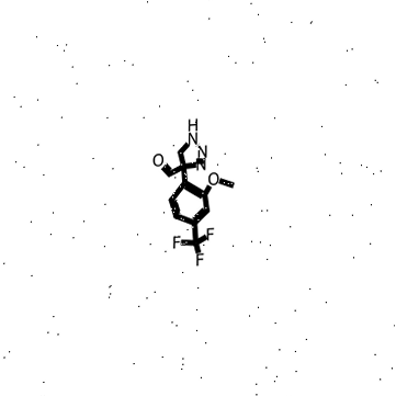 COc1cc(C(F)(F)F)ccc1C1(C=O)CNN=N1